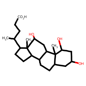 CC(CCC(=O)O)C1CCC2C3CCC4CC(O)CC(O)C4(C)C3CC(O)C12C